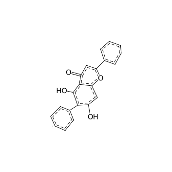 O=c1cc(-c2ccccc2)oc2cc(O)c(-c3cc[c]cc3)c(O)c12